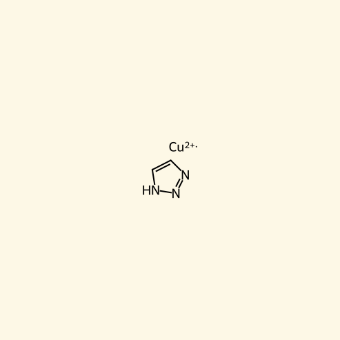 [Cu+2].c1c[nH]nn1